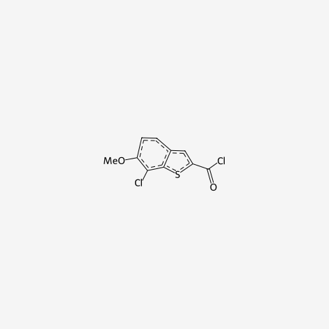 COc1ccc2cc(C(=O)Cl)sc2c1Cl